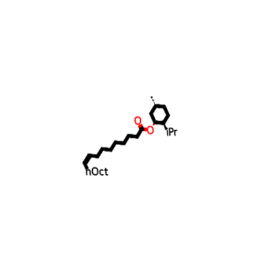 CCCCCCCC/C=C\CCCCCCCC(=O)O[C@@H]1C[C@H](C)CC[C@H]1C(C)C